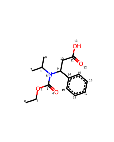 CCOC(=O)N(C(C)C)C(CC(=O)O)c1ccccc1